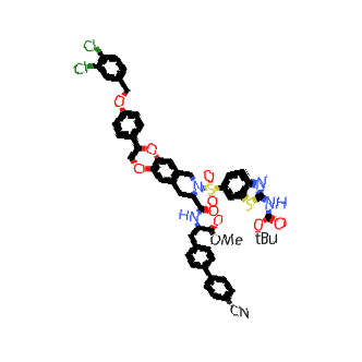 COC(=O)C(Cc1ccc(-c2ccc(C#N)cc2)cc1)NC(=O)C1Cc2cc3c(cc2CN1S(=O)(=O)c1ccc2nc(NC(=O)OC(C)(C)C)sc2c1)OC(c1ccc(OCc2ccc(Cl)c(Cl)c2)cc1)CO3